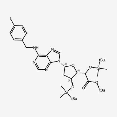 CC(C)(C)OC(=O)C(O[Si](C)(C)C(C)(C)C)[C@H]1O[C@@H](n2cnc3c(NCc4ccc(I)cc4)ncnc32)C[C@@H]1O[Si](C)(C)C(C)(C)C